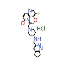 Cl.O=c1ccc2ncc(F)c3c2n1[C@H](CN1CCC(NCc2cc4c(nn2)CCC4)CC1)CO3